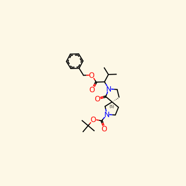 CC(C)C(C(=O)OCc1ccccc1)N1CC[C@@]2(CCN(C(=O)OC(C)(C)C)C2)C1=O